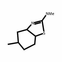 CNC1=NC2CC(C)CCC2S1